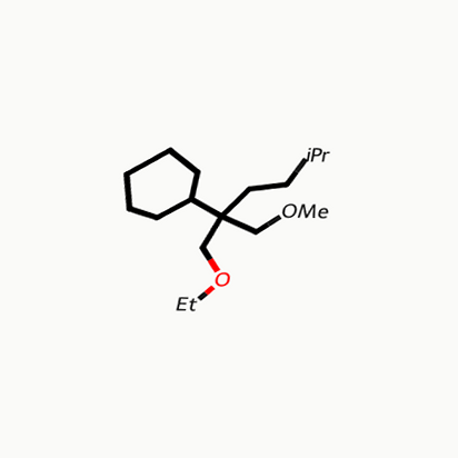 CCOCC(CCC(C)C)(COC)C1CCCCC1